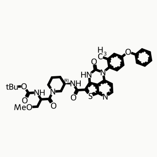 COCC(NC(=O)OC(C)(C)C)C(=O)N1CCC[C@@H](NC(=O)c2sc3nccc4c3c2NC(=O)N4c2ccc(Oc3ccccc3)cc2C)C1